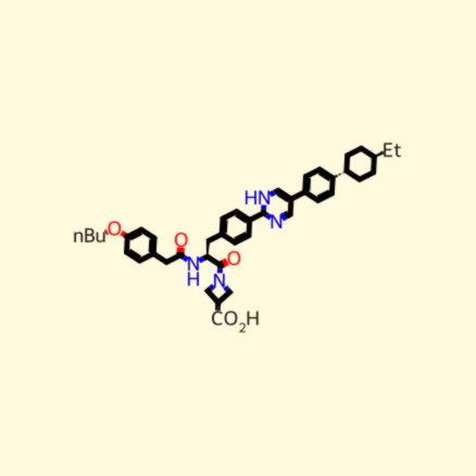 CCCCOc1ccc(CC(=O)N[C@@H](Cc2ccc(C3N=CC(c4ccc([C@H]5CC[C@H](CC)CC5)cc4)=CN3)cc2)C(=O)N2CC(C(=O)O)C2)cc1